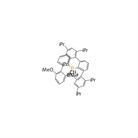 COc1cccc(OC)c1-c1ccccc1P(C)c1c(-c2c(C(C)C)cc(C(C)C)cc2C(C)C)cccc1-c1c(C(C)C)cc(C(C)C)cc1C(C)C